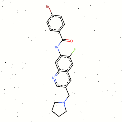 O=C(Nc1cc2ncc(CN3CCCC3)cc2cc1F)c1ccc(Br)cc1